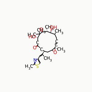 C/C(=C\c1csc(C)n1)[C@H]1CC(=O)C[C@H](O)C(C)(C)C(=O)[C@H](C)[C@@H](O)[C@@H](C)CCC[C@@]2(C)OC2C1